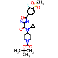 CC(C)(C)OC(=O)N1CCC(N(C(=O)c2noc(-c3ccc(S(C)(=O)=O)c(F)c3)n2)C2CC2)CC1